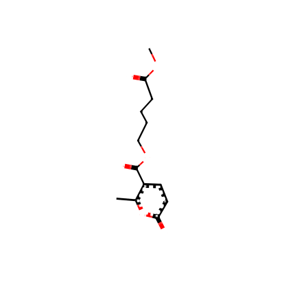 COC(=O)CCCCOC(=O)c1ccc(=O)oc1C